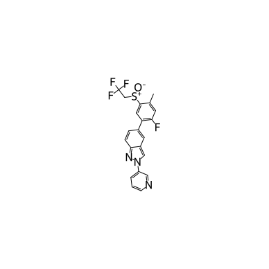 Cc1cc(F)c(-c2ccc3nn(-c4cccnc4)cc3c2)cc1[S+]([O-])CC(F)(F)F